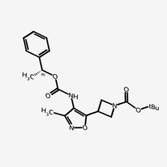 Cc1noc(C2CN(C(=O)OC(C)(C)C)C2)c1NC(=O)O[C@H](C)c1ccccc1